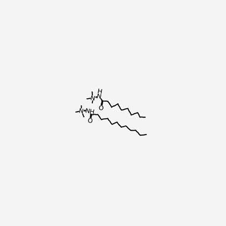 CCCCCCCCCC(=O)N[N+](C)(C)C.CCCCCCCCCCCC(=O)N[N+](C)(C)C